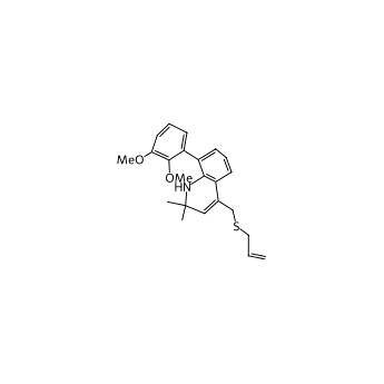 C=CCSCC1=CC(C)(C)Nc2c1cccc2-c1cccc(OC)c1OC